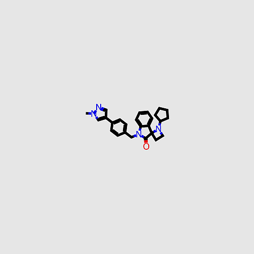 Cn1cc(-c2ccc(CN3C(=O)C4(CCN4C4CCCC4)c4ccccc43)cc2)cn1